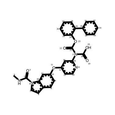 CNC(=O)n1ccc2ccc(Oc3ccnc(N(C(=O)O)C(=O)Oc4ccccc4-c4ccccc4)c3)cc21